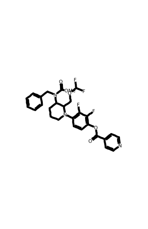 COC(=O)N(Cc1ccccc1)C1CCCN(c2ccc(OC(=O)c3ccncc3)c(F)c2F)C1COC(F)F